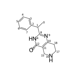 CC(c1ccccc1)c1nc2c(c(=O)[nH]1)CNCC2